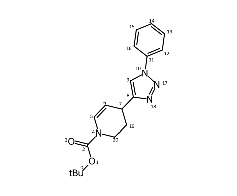 CC(C)(C)OC(=O)N1C=CC(c2cn(-c3ccccc3)nn2)CC1